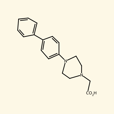 O=C(O)CN1CCN(c2ccc(-c3ccccc3)cc2)CC1